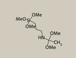 COC(C)(NCCC[Si](OC)(OC)OC)OC